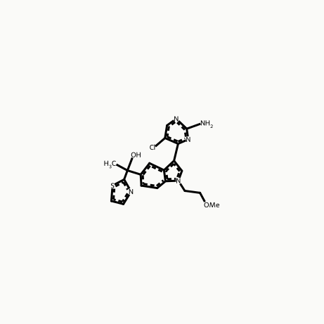 COCCn1cc(-c2nc(N)ncc2Cl)c2cc(C(C)(O)c3nccs3)ccc21